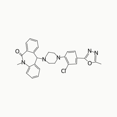 Cc1nnc(-c2ccc(N3CCN(C4c5ccccc5C(=O)N(C)c5ccccc54)CC3)c(Cl)c2)o1